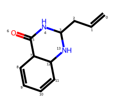 C=CCC1NC(=O)C2C=CC=CC2N1